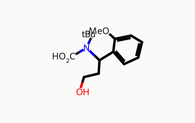 COc1ccccc1C(CCO)N(C(=O)O)C(C)(C)C